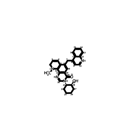 CN1CC=Cc2c(Cc3ccnc4ccccc34)cc3c(=O)n([C@H]4CCCC[C@@H]4O)cnc3c21